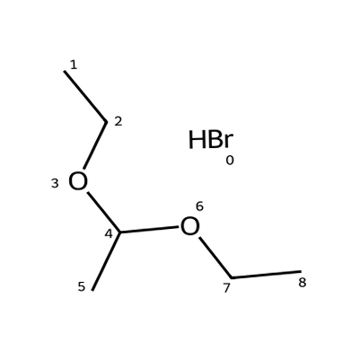 Br.CCOC(C)OCC